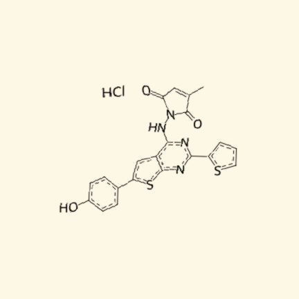 CC1=CC(=O)N(Nc2nc(-c3cccs3)nc3sc(-c4ccc(O)cc4)cc23)C1=O.Cl